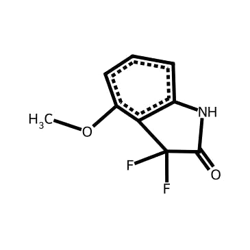 COc1cccc2c1C(F)(F)C(=O)N2